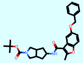 Cc1oc2ccc(OCc3ccccc3)cc2c1C(=O)NC1CC2CN(C(=O)OC(C)(C)C)CC2C1